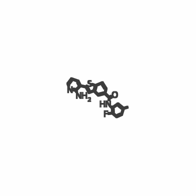 Cc1ccc(F)c(NC(=O)c2ccc3sc(-c4cccnc4N)cc3c2)c1